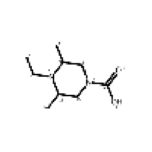 CCN1C(C)CN(C(=O)O)CC1C